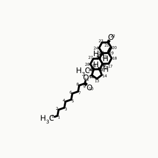 CCCCCCCCCC(=O)O[C@H]1CC[C@H]2[C@@H]3CCC4=CC(=O)CC[C@H]4[C@H]3CC[C@]12C